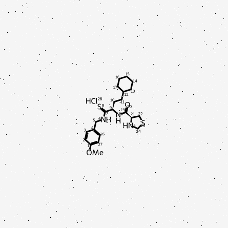 COc1ccc(CNC(=S)[C@@H](CCC2CCCCC2)NC(=O)[C@H]2CSCN2)cc1.Cl